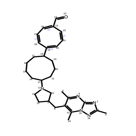 Cc1nc2nc(C)c(CC3CCN(C4CCCCC(C5=C/C=C\C(C=O)=C/C=C\5)CCC4)C3)c(C)n2n1